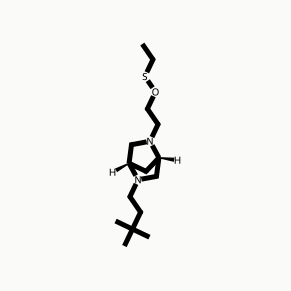 CCSOCCN1C[C@@H]2C[C@H]1CN2CCC(C)(C)C